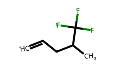 [CH]=CCC(C)C(F)(F)F